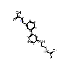 CC(=O)NCCNc1cncc(-c2cccc(/C=C/C(=O)O)c2)n1